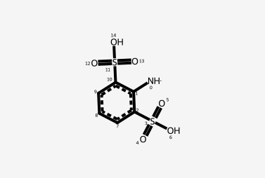 [NH]c1c(S(=O)(=O)O)cccc1S(=O)(=O)O